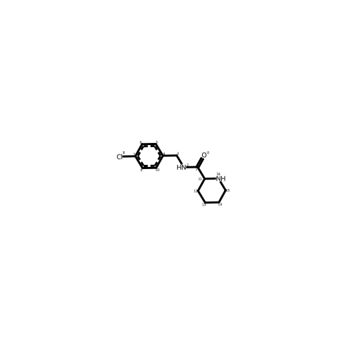 O=C(NCc1ccc(Cl)cc1)C1CCCCN1